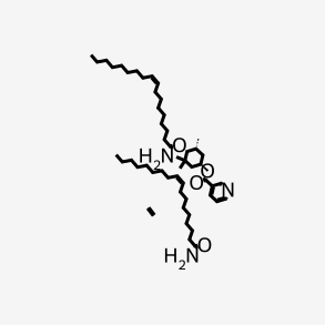 C=C.CCCCCCCC/C=C\CCCCCCCC(N)=O.CCCCCCCC/C=C\CCCCCCCC(N)=O.C[C@@H]1C[C@@H](OC(=O)c2cccnc2)CC(C)(C)C1